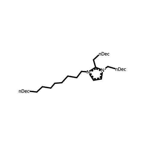 CCCCCCCCCCCCCCCCCCn1cc[n+](CCCCCCCCCCC)c1CCCCCCCCCCC